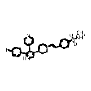 CNS(=O)(=O)c1ccc(C=CN2CC=C(c3c[nH]c(-c4ccc(F)cc4)c3-c3ccncc3)CC2)cc1